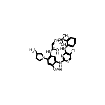 C=C[C@@H](O)Nc1cc(Nc2ncc(Cl)c(Nc3ccccc3P(C)(C)=O)n2)c(OC)cc1N1CCC(N)C1